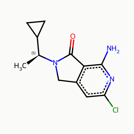 C[C@@H](C1CC1)N1Cc2cc(Cl)nc(N)c2C1=O